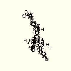 COC(=O)C(Cc1ccc(-c2ccc(C#N)cc2)cc1)NC(=O)C1Cc2cc3c(cc2CN1S(=O)(=O)c1sc(NC(C)=O)nc1C)OC(c1ccc(OCc2ccc(Cl)c(Cl)c2)cc1)C(=O)N3